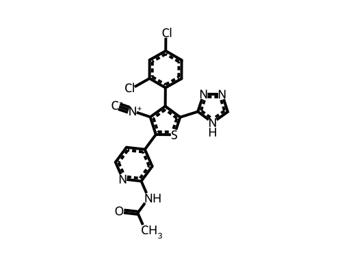 [C-]#[N+]c1c(-c2ccnc(NC(C)=O)c2)sc(-c2nnc[nH]2)c1-c1ccc(Cl)cc1Cl